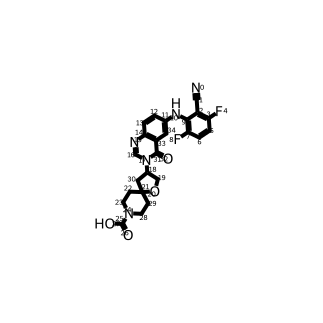 N#Cc1c(F)ccc(F)c1Nc1ccc2ncn(C3COC4(CCN(C(=O)O)CC4)C3)c(=O)c2c1